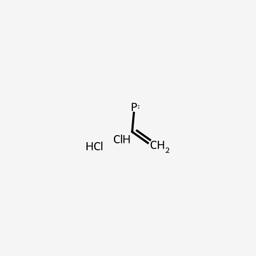 C=C[P].Cl.Cl